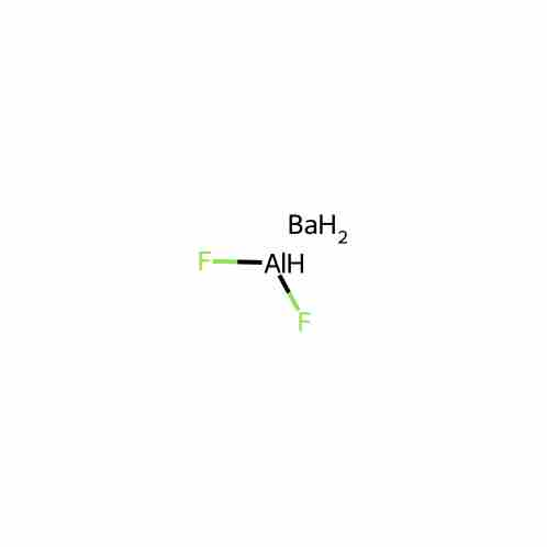 [BaH2].[F][AlH][F]